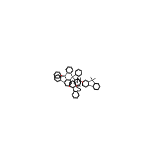 CC1(C)c2ccccc2-c2ccc(N(c3ccccc3C3(c4ccccc4)c4ccccc4C4(c5ccccc5)c5ccccc5-c5cccc3c54)c3cccc4c3sc3ccccc34)cc21